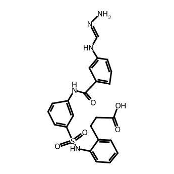 NN=CNc1cccc(C(=O)Nc2cccc(S(=O)(=O)Nc3ccccc3CCC(=O)O)c2)c1